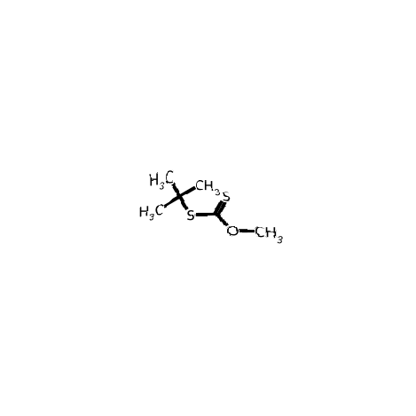 COC(=S)SC(C)(C)C